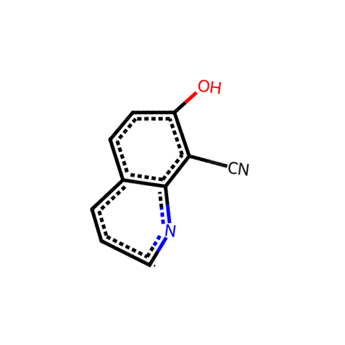 N#Cc1c(O)ccc2cc[c]nc12